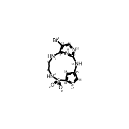 O=S1(=O)NCCNc2nc(ncc2Br)Nc2csc1c2